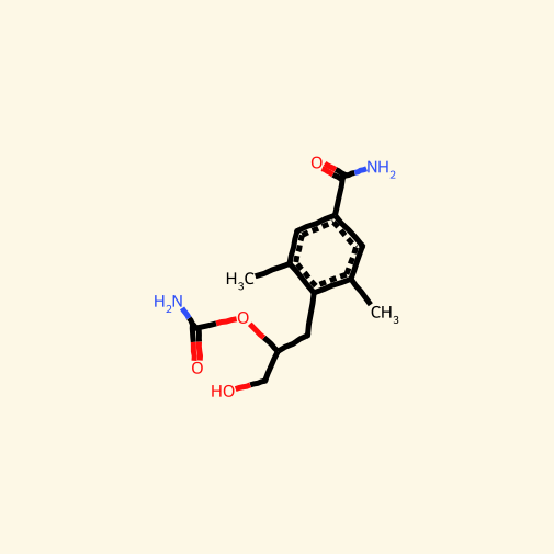 Cc1cc(C(N)=O)cc(C)c1CC(CO)OC(N)=O